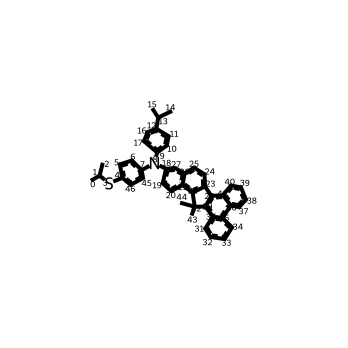 CC(C)Sc1ccc(N(c2ccc(C(C)C)cc2)c2ccc3c4c(ccc3c2)-c2c(c3ccccc3c3ccccc23)C4(C)C)cc1